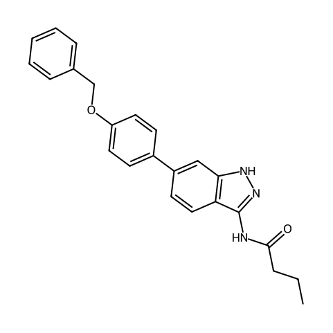 CCCC(=O)Nc1n[nH]c2cc(-c3ccc(OCc4ccccc4)cc3)ccc12